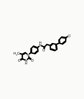 Cc1cn(-c2ccc(NC(=O)Cc3cccc(-c4ccc(Cl)cc4)c3)cc2)c(=O)[nH]c1=O